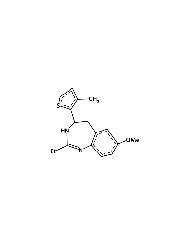 CCC1=Nc2ccc(OC)cc2CC(c2sccc2C)N1